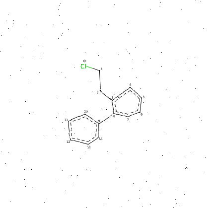 ClCCc1ccccc1-c1ccccc1